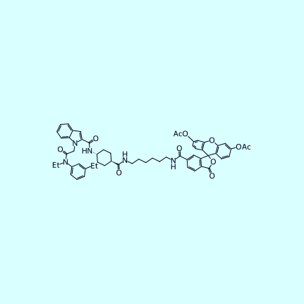 CCc1cccc(N(CC)C(=O)Cn2c(C(=O)N[C@H]3CC[C@H](C(=O)NCCCCCCNC(=O)c4ccc5c(c4)C4(OC5=O)c5ccc(OC(C)=O)cc5Oc5cc(OC(C)=O)ccc54)CC3)cc3ccccc32)c1